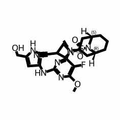 COc1nc(Nc2cc(CO)[nH]n2)nc(N(C)[C@@H]2C[C@H]3CCC[C@@H](C2)N3S(=O)(=O)N2CC(C#N)C2)c1F